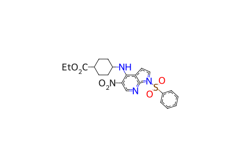 CCOC(=O)C1CCC(Nc2c([N+](=O)[O-])cnc3c2ccn3S(=O)(=O)c2ccccc2)CC1